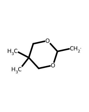 [CH2]C1OCC(C)(C)CO1